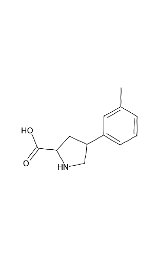 Cc1cccc(C2CNC(C(=O)O)C2)c1